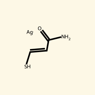 NC(=O)C=CS.[Ag]